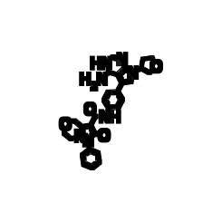 NC1NC=Nc2c1c(-c1ccc(NC(=O)c3c4n(n(-c5ccccc5)c3=O)CCOC4)cc1)cn2C1CCOC1